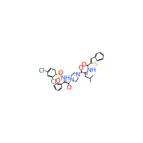 CC(C)C[C@H](NC(=O)c1cc2ccccc2s1)C(=O)N1CCN(C(=O)[C@@H](NS(=O)(=O)C2CC=C(Cl)C=C2Cl)c2ccccc2)CC1